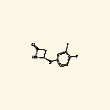 O=C1CC(Sc2ccc(F)c(F)c2)N1